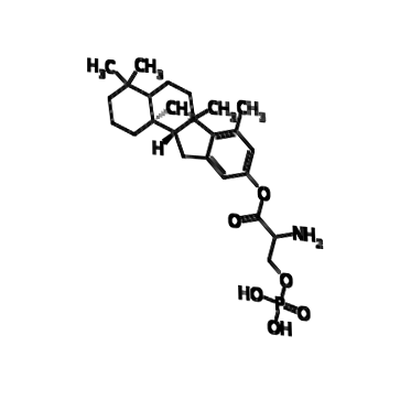 Cc1cc(OC(=O)C(N)COP(=O)(O)O)cc2c1C1(C)CCC3C(C)(C)CCC[C@]3(C)[C@H]1C2